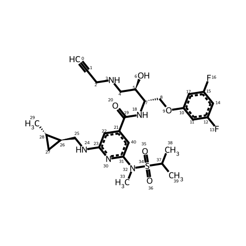 C#CCNC[C@@H](O)[C@H](COc1cc(F)cc(F)c1)NC(=O)c1cc(NC[C@H]2C[C@@H]2C)nc(N(C)S(=O)(=O)C(C)C)c1